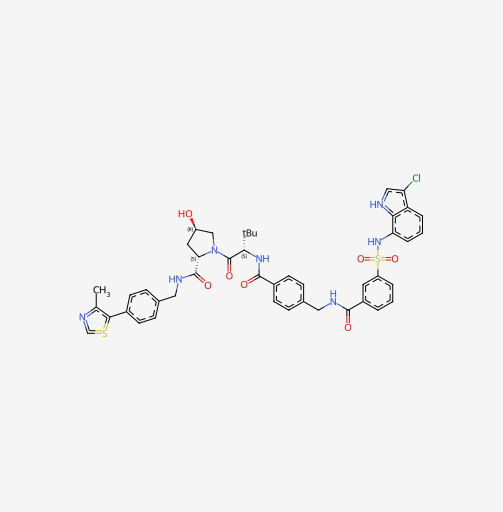 Cc1ncsc1-c1ccc(CNC(=O)[C@@H]2C[C@@H](O)CN2C(=O)[C@@H](NC(=O)c2ccc(CNC(=O)c3cccc(S(=O)(=O)Nc4cccc5c(Cl)c[nH]c45)c3)cc2)C(C)(C)C)cc1